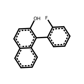 Oc1ccc2ccccc2c1-c1ccccc1F